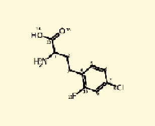 NC(CCc1ccc(Cl)cc1F)C(=O)O